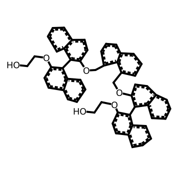 OCCOc1ccc2ccccc2c1-c1c(OCc2cccc3cccc(COc4ccc5ccccc5c4-c4c(OCCO)ccc5ccccc45)c23)ccc2ccccc12